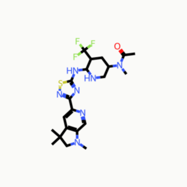 CC(=O)N(C)C1CNC(Nc2nc(-c3cc4c(cn3)N(C)CC4(C)C)ns2)C(C(F)(F)F)C1